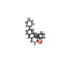 O=C1CCc2cc3ccc(C4CCCCC4)cc3cc2C12CC1=CCC2C1